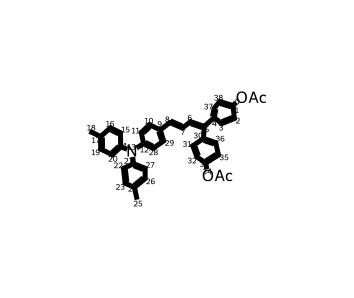 CC(=O)Oc1ccc(C(=CC=Cc2ccc(N(c3ccc(C)cc3)c3ccc(C)cc3)cc2)c2ccc(OC(C)=O)cc2)cc1